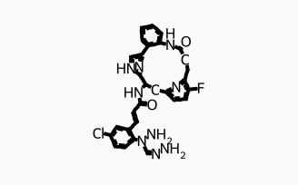 N/N=C\N(N)c1ccc(Cl)cc1/C=C/C(=O)NC1Cc2ccc(F)c(n2)CCC(=O)Nc2ccccc2-c2c[nH]c1n2